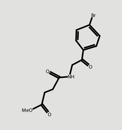 COC(=O)CCC(=O)NCC(=O)c1ccc(Br)cc1